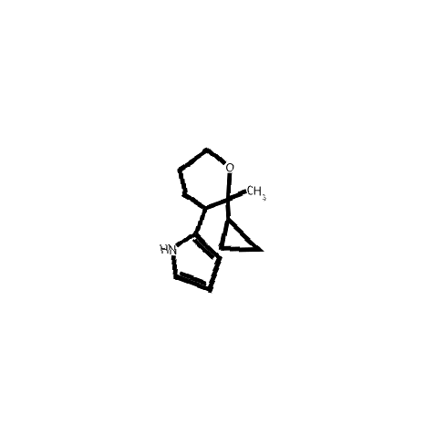 CC1(C2CC2)OCCCC1c1ccc[nH]1